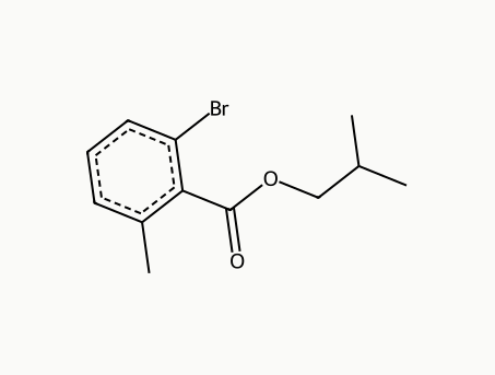 Cc1cccc(Br)c1C(=O)OCC(C)C